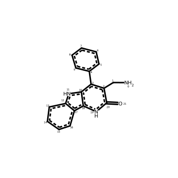 NCc1c(-c2ccccc2)c2[nH]c3ccccc3c2[nH]c1=O